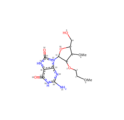 COCCOC1C(OC)C(CO)OC1n1c(=O)[nH]c2c(=O)[nH]c(N)nc21